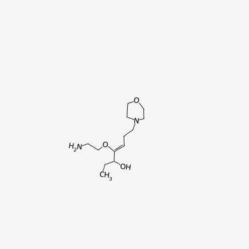 CCC(O)C(=CCCN1CCOCC1)OCCN